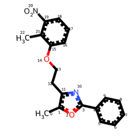 Cc1oc(-c2ccccc2)nc1CCOc1cccc([N+](=O)[O-])c1C